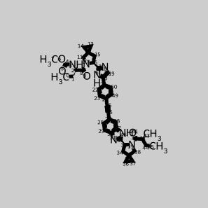 CC[C@H](NC(=O)OC)C(=O)N1CC2(CC2)C[C@H]1c1ncc(-c2ccc(C#Cc3ccc4nc([C@@H]5CC6(CC6)CN5C(=O)[C@@H](C)CC)[nH]c4c3)cc2)[nH]1